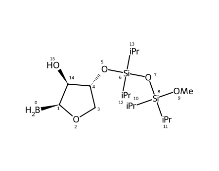 B[C@@H]1OC[C@@H](O[Si](O[Si](OC)(C(C)C)C(C)C)(C(C)C)C(C)C)[C@@H]1O